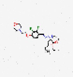 CCCC[C@@](C)(N/N=C/c1ccc(OCCN2CCOCC2)c(F)c1F)C(=O)OC